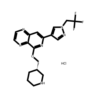 Cl.FC(F)(F)Cn1cc(-c2cc3nccnc3c(OC[C@H]3CCCNC3)n2)cn1